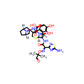 Cc1c(C(=O)N[C@H]2C[C@H]3CC[C@@H](C2)N3CC2=C(C(=O)O)N3C(=O)[C@@H](NC(=O)/C(=N\OC(C)(C)C=O)c4nsc(N)n4)[C@H]3SC2)ccc(O)c1O